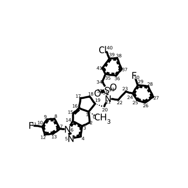 C[C@]12Cc3cnn(-c4ccc(F)cc4)c3C=C1CC[C@@H]2CN(CCc1ccccc1F)S(=O)(=O)Cc1cccc(Cl)c1